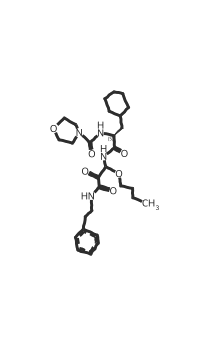 CCCCOC(NC(=O)[C@H](CC1CCCCC1)NC(=O)N1CCOCC1)C(=O)C(=O)NCCc1ccccc1